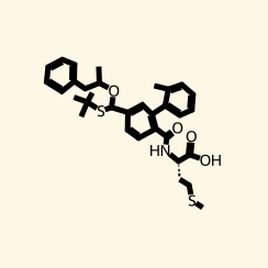 CSCC[C@H](NC(=O)c1ccc(C(OC(C)Cc2ccccc2)SC(C)(C)C)cc1-c1ccccc1C)C(=O)O